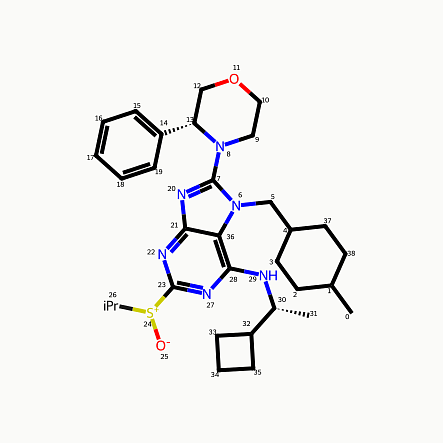 CC1CCC(Cn2c(N3CCOC[C@H]3c3ccccc3)nc3nc([S+]([O-])C(C)C)nc(N[C@H](C)C4CCC4)c32)CC1